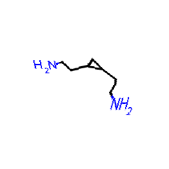 NCCC1CC1CCN